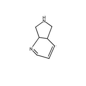 [C]1=CC=NC2CNCC12